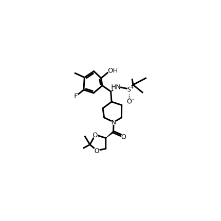 Cc1cc(O)c([C@H](N[S@@+]([O-])C(C)(C)C)C2CCN(C(=O)[C@H]3COC(C)(C)O3)CC2)cc1F